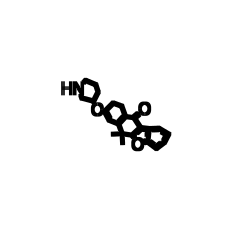 CC1(C)C2=C(CCC(OC3CCCNC3)=C2)C(=O)c2c1oc1ccccc21